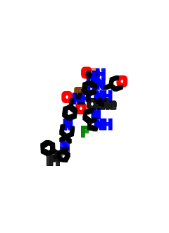 C=CNc1c(C)c(SNC(=O)c2ccc(N3CCC4(CC3)CN([C@H]3CCC[C@H]3c3ccccc3C(C)C)C4)cc2Oc2cc3c(F)c[nH]c3nc2OC)cc([NH+](C)[O-])c1NCC1CCOCC1